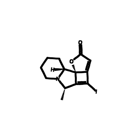 C[C@H]1C2=C(I)C3=CC(=O)O[C@]32[C@H]2CCCCN12